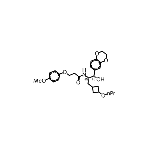 CCCOC1CC(C[C@@H](NC(=O)CCOc2ccc(OC)cc2)[C@H](O)c2ccc3c(c2)OCCO3)C1